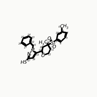 Cc1cccc(S(=O)(=O)C2(C)CCOC(c3cc(S)nn3Cc3ccccc3)C2)c1